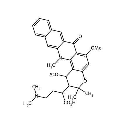 COc1cc2c(c3c1c(=O)c1cc4ccccc4cc1n3C)C(OC(C)=O)C(C(CCN(C)C)C(=O)O)C(C)(C)O2